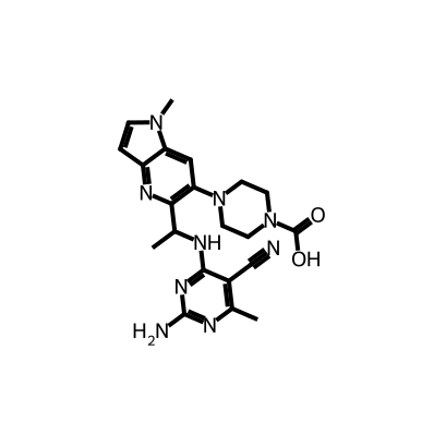 Cc1nc(N)nc(NC(C)c2nc3ccn(C)c3cc2N2CCN(C(=O)O)CC2)c1C#N